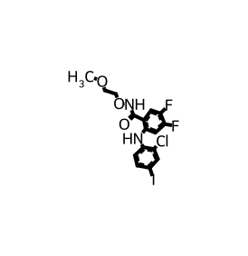 COCCONC(=O)c1cc(F)c(F)cc1Nc1ccc(I)cc1Cl